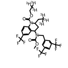 [2H]C([2H])([2H])COC(=O)N1c2ccc(C(F)(F)F)cc2C(N(Cc2cc(C(F)(F)F)cc(C(F)(F)F)c2)C(=O)OC)CC1CC([2H])([2H])[2H]